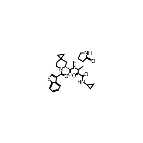 O=C(NC1CC1)C(=O)C(C[C@@H]1CCNC1=O)NC(=O)[C@@H]1CC2(CCN1C(=O)c1csc3ccccc13)CC2